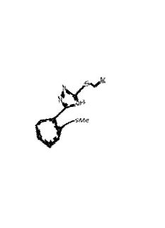 CSc1ccccc1-c1nnc(SCC(C)=O)[nH]1